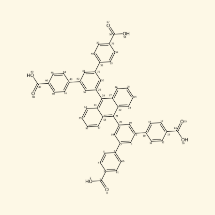 O=C(O)c1ccc(-c2cc(-c3ccc(C(=O)O)cc3)cc(-c3c4ccccc4c(-c4cc(-c5ccc(C(=O)O)cc5)cc(-c5ccc(C(=O)O)cc5)c4)c4ccccc34)c2)cc1